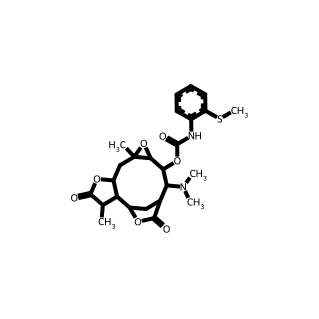 CSc1ccccc1NC(=O)OC1C(N(C)C)C2CC(OC2=O)C2C(CC3(C)OC13)OC(=O)C2C